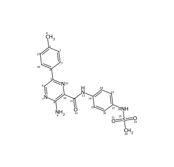 Cc1ccc(-c2cnc(N)c(C(=O)Nc3ccc(NS(C)(=O)=O)cc3)n2)cc1